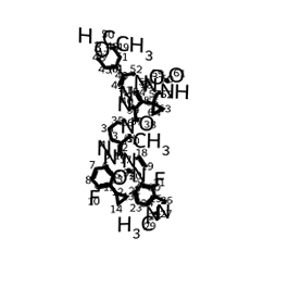 C[C@H]1c2c(nn(-c3ccc(F)c(C4CC4)c3)c2-n2ccn(-c3ccc4c(cnn4C)c3F)c2=O)CCN1C(=O)c1nn2cc([C@H]3CCOC(C)(C)C3)cnc2c1C1(c2noc(=O)[nH]2)CC1